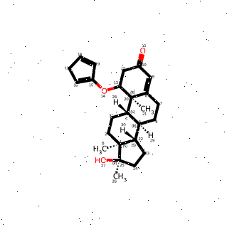 C[C@]12CC[C@H]3[C@@H](CCC4=CC(=O)CC(OC5=CCC=C5)[C@@]43C)[C@@H]1CC[C@@]2(C)O